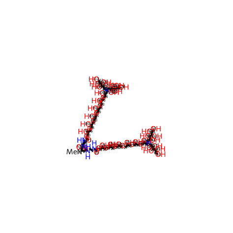 CN[C@H](CC(=O)NCCNC(=O)OCC(O)COCC(O)COCC(O)COCC(O)COCC(O)COCC(O)CN(C[C@H](O)[C@@H](O)[C@H](O)[C@H](O)CO)C[C@H](O)[C@@H](O)[C@H](O)[C@H](O)CO)C(=O)NCCNC(=O)OCC(O)COCC(O)COCC(O)COCC(O)COCC(O)COCC(O)CN(C[C@H](O)[C@@H](O)[C@H](O)[C@H](O)CO)C[C@H](O)[C@@H](O)[C@H](O)[C@H](O)CO